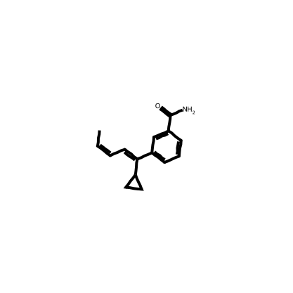 C/C=C\C=C(\c1cccc(C(N)=O)c1)C1CC1